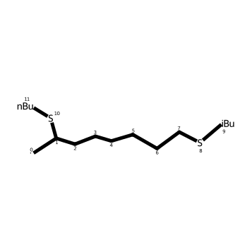 [CH2]C(CCCCCCSC(C)CC)SCCCC